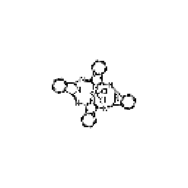 [Cl][Sn]1([Cl])[n]2c3c4ccccc4c2N=C2N=C(N=c4c5ccccc5c([n]41)=NC1=NC(=N3)c3ccccc31)c1ccccc12